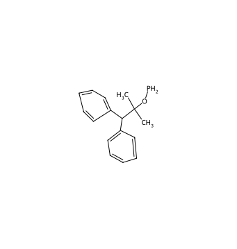 CC(C)(OP)C(c1ccccc1)c1ccccc1